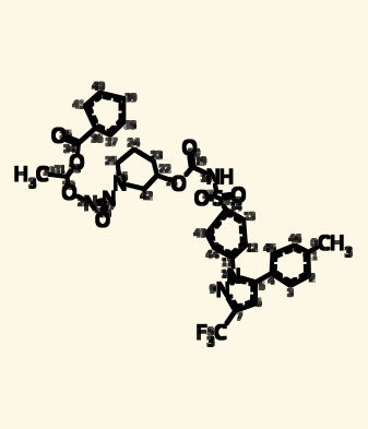 Cc1ccc(-c2cc(C(F)(F)F)nn2-c2ccc(S(=O)(=O)NC(=O)OC3CCCN(n4on4OC(C)OC(=O)c4ccccc4)C3)cc2)cc1